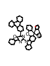 c1ccc2c(c1)Oc1c(ccc3c4ccccc4n(-c4nc(-c5ccc6c7ccccc7c7ccccc7c6c5)c5oc6ccccc6c5n4)c13)C21c2ccccc2-c2ccccc21